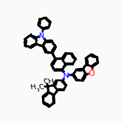 CC1(C)c2ccccc2-c2ccc(N(c3ccc4oc5ccccc5c4c3)c3ccc(-c4ccc5c(c4)c4ccccc4n5-c4ccccc4)c4ccccc34)cc21